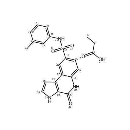 CCC(=O)O.Cc1cccc(NS(=O)(=O)c2ccc3[nH]c(=O)c4[nH]ccc4c3c2)c1